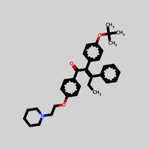 CCC(=C(C(=O)c1ccc(OCCN2CCCCC2)cc1)c1ccc(OC(C)(C)C)cc1)c1ccccc1